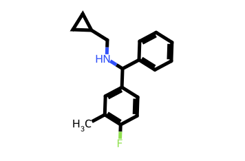 Cc1cc(C(NCC2CC2)c2ccccc2)ccc1F